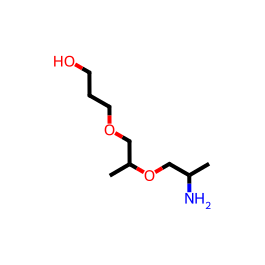 CC(N)COC(C)COCCCO